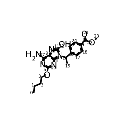 CCCCOc1nc(N)c2nc(O)n(C(C)c3ccc(C(=O)OC)cc3)c2n1